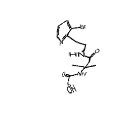 CC(C)(NC(=O)O)C(=O)NCc1ncccc1Br